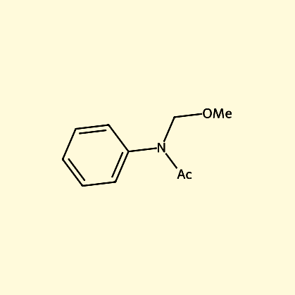 COCN(C(C)=O)c1ccccc1